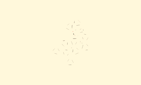 c1ccc(-c2cc(-c3ccccc3)cc([Si](c3ccccc3)(c3ccccc3)c3ccc4c(c3)-n3c5ccccc5c5cccc(c53)C43c4ccccc4C(c4ccccc4)(c4ccccc4)c4ccccc43)c2)cc1